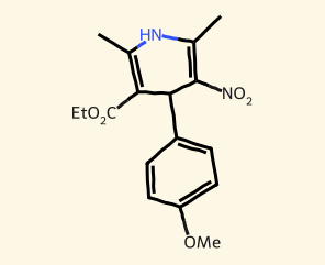 CCOC(=O)C1=C(C)NC(C)=C([N+](=O)[O-])C1c1ccc(OC)cc1